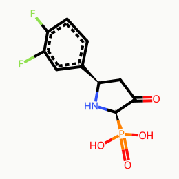 O=C1C[C@H](c2ccc(F)c(F)c2)N[C@@H]1P(=O)(O)O